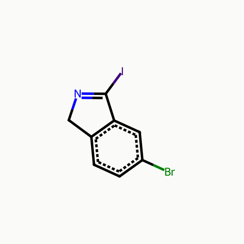 Brc1ccc2c(c1)C(I)=NC2